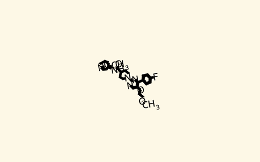 COCCOc1cnc(N2CCC(C(=O)NC3(C)CCN4CCC3CC4)CC2)nc1-c1ccc(F)cc1